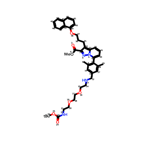 COC(=O)c1nn2c(-c3c(C)cc(CNCCOCCOCCNC(=O)OC(C)(C)C)cc3C)cccc2c1CCCOc1cccc2ccccc12